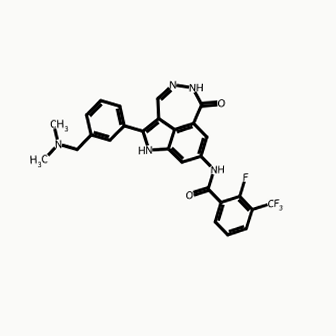 CN(C)Cc1cccc(-c2[nH]c3cc(NC(=O)c4cccc(C(F)(F)F)c4F)cc4c3c2C=NNC4=O)c1